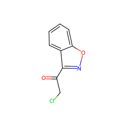 O=C(CCl)c1noc2ccccc12